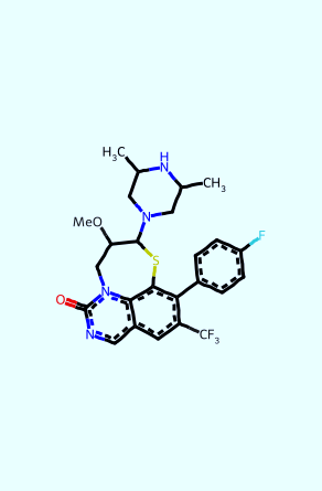 COC1Cn2c(=O)ncc3cc(C(F)(F)F)c(-c4ccc(F)cc4)c(c32)SC1N1CC(C)NC(C)C1